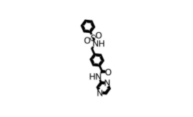 O=C(Nc1cnccn1)c1ccc(CNS(=O)(=O)c2ccccc2)cc1